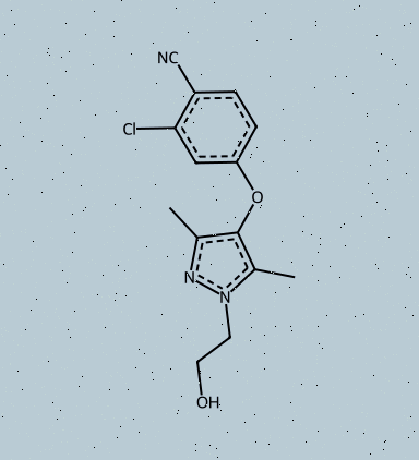 Cc1nn(CCO)c(C)c1Oc1ccc(C#N)c(Cl)c1